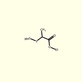 CCOC(=O)C(C)SSC